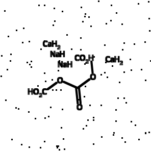 O=C(O)OC(=O)OC(=O)O.[CaH2].[CaH2].[NaH].[NaH]